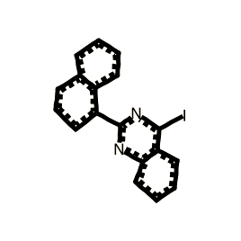 Ic1nc(-c2cccc3ccccc23)nc2ccccc12